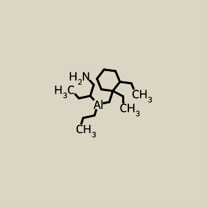 CC[CH2][Al]([CH2]C1(CC)CCCCC1CC)[CH](CC)CN